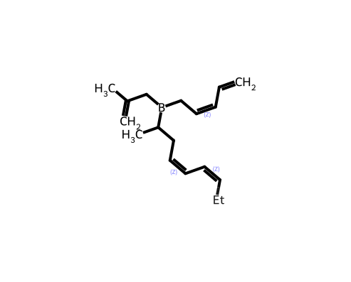 C=C/C=C\CB(CC(=C)C)C(C)C/C=C\C=C/CC